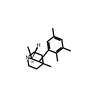 Cc1cc(C)c(C)c(C2[C@@H](C)N3CCC2(C)CC3)c1